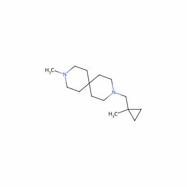 CN1CCC2(CC1)CCN(CC1(C)CC1)CC2